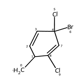 [CH2]C1C=CC(Cl)(Br)C=C1Cl